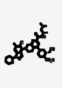 Cc1cc2c(cnn2C2CCCCO2)c(N2CCc3c(N4CCN(C(=O)O)[C@@H](CC#N)C4)cc(C(=O)N[C@H](C)CN(C)C)nc3C2)c1Cl